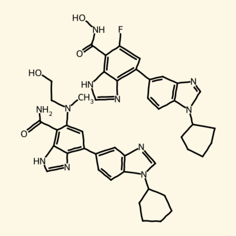 CN(CCO)c1cc(-c2ccc3c(c2)ncn3C2CCCCC2)c2nc[nH]c2c1C(N)=O.O=C(NO)c1c(F)cc(-c2ccc3c(c2)ncn3C2CCCCC2)c2nc[nH]c12